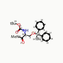 CNC(=O)[C@H](CO[Si](c1ccccc1)(c1ccccc1)C(C)(C)C)NC(=O)OC(C)(C)C